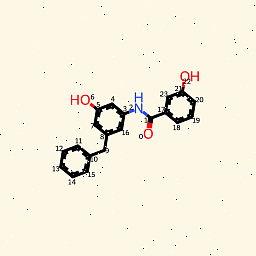 O=C(Nc1cc(O)cc(Cc2ccccc2)c1)c1cccc(O)c1